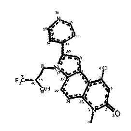 Cn1c(=O)cc(Cl)c2c3cc(-c4ccncc4)n(C[C@@H](O)C(F)(F)F)c3ccc21